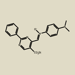 CCOC(=O)c1cnc(-c2ccccc2)nc1C=[N+]([O-])c1ccc(N(C)C)cc1